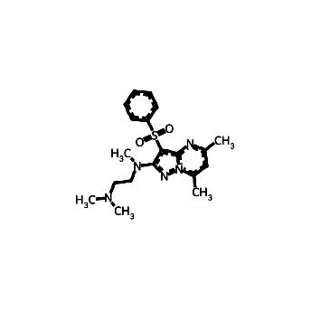 Cc1cc(C)n2nc(N(C)CCN(C)C)c(S(=O)(=O)c3ccccc3)c2n1